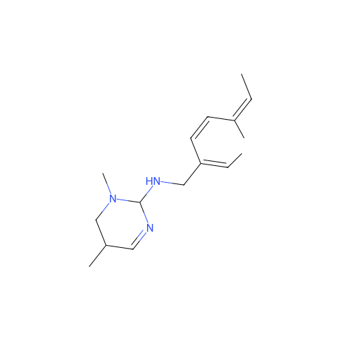 C\C=C(C)/C=C\C(=C/C)CNC1N=CC(C)CN1C